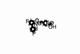 O=C(Nc1ccc(F)cc1-c1ccc(F)cc1)OCC1CCN(C(=O)O)CC1